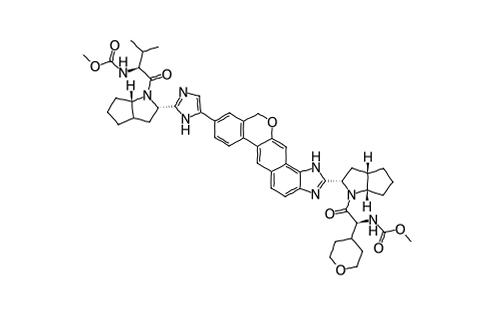 COC(=O)N[C@H](C(=O)N1[C@H](c2ncc(-c3ccc4c(c3)COc3cc5c(ccc6nc([C@@H]7C[C@@H]8CCC[C@@H]8N7C(=O)[C@@H](NC(=O)OC)C7CCOCC7)[nH]c65)cc3-4)[nH]2)CC2CCC[C@@H]21)C(C)C